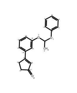 CC(Oc1ccccc1)Oc1cccc(C2=CC(=O)CC2)c1